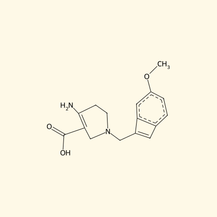 COc1ccc2c(c1)C(CN1CCC(N)=C(C(=O)O)C1)=C2